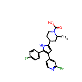 CC1CC(c2cc(-c3ccnc(Br)c3)c(-c3ccc(F)cc3)[nH]2)CCN1C(=O)O